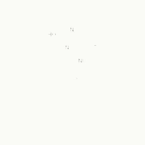 Oc1ncc(F)c(NCOCc2ccccc2)n1